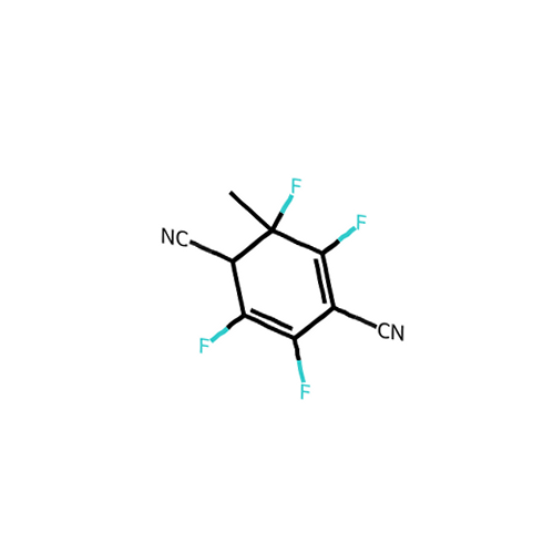 CC1(F)C(F)=C(C#N)C(F)=C(F)C1C#N